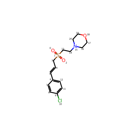 O=S(=O)(CC=Cc1ccc(Cl)cc1)CCN1CCOCC1